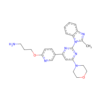 Cc1nc2ccccc2n1-c1nc(-c2ccc(OCCCN)nc2)cc(N2CCOCC2)n1